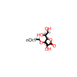 CCCCCCCCCOC1=C(O)C(=O)OC1C(O)CO